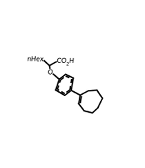 CCCCCCC(Oc1ccc(/C2=C/CCCCCC2)cc1)C(=O)O